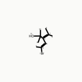 CC(C)=C(/C=C(\C)Br)C(C)(C)O